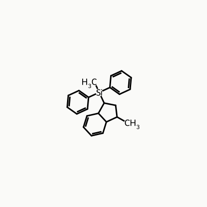 CC1CC([Si](C)(c2ccccc2)c2ccccc2)C2C=CC=CC12